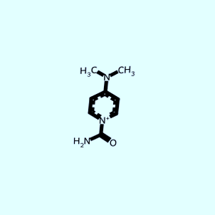 CN(C)c1cc[n+](C(N)=O)cc1